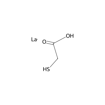 O=C(O)CS.[La]